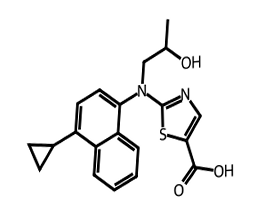 CC(O)CN(c1ncc(C(=O)O)s1)c1ccc(C2CC2)c2ccccc12